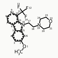 COc1ccc2c3ccnc(C(F)(F)F)c3n(CCN3CCOCC3)c2c1